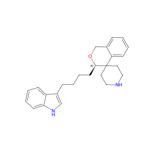 c1ccc2c(c1)CO[C@H](CCCCc1c[nH]c3ccccc13)C21CCNCC1